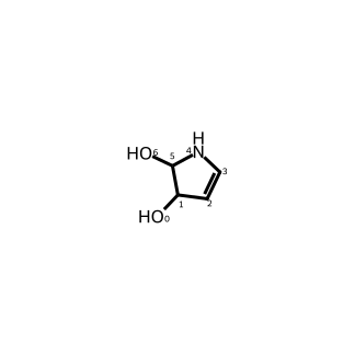 OC1C=CNC1O